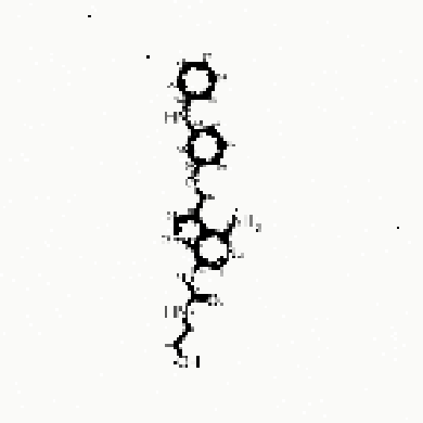 Nc1ncc(OC(=O)NCCO)c2scc(COc3cccc(Nc4ccccc4)c3)c12